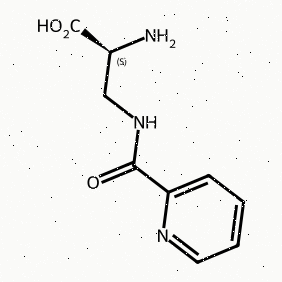 N[C@@H](CNC(=O)c1ccccn1)C(=O)O